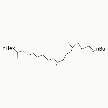 [CH2]CCC/C=C/CCC(C)CCCC(C)CCCCCCCC(C)CCCCC[CH2]